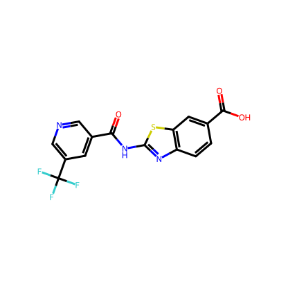 O=C(O)c1ccc2nc(NC(=O)c3cncc(C(F)(F)F)c3)sc2c1